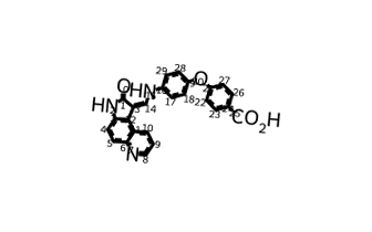 O=C1Nc2ccc3ncccc3c2C1=CNc1ccc(Oc2ccc(C(=O)O)cc2)cc1